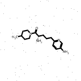 CC1CCN(C(=O)[C@@H](N)CCCc2ccc(N)cn2)CC1